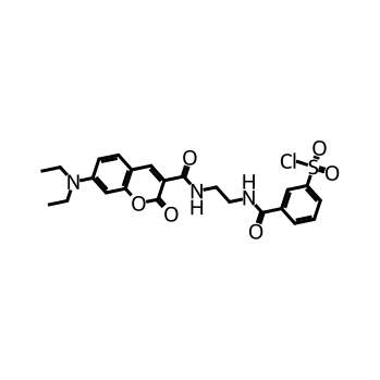 CCN(CC)c1ccc2cc(C(=O)NCCNC(=O)c3cccc(S(=O)(=O)Cl)c3)c(=O)oc2c1